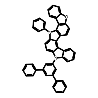 c1ccc(-c2cc(-c3ccccc3)cc(-n3c4ccccc4c4c5c6ccc7oc8ccccc8c7c6n(-c6ccccc6)c5ccc43)c2)cc1